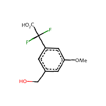 COc1cc(CO)cc(C(F)(F)C(=O)O)c1